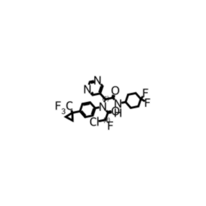 O=C(NC1CCC(F)(F)CC1)[C@H](c1cncnc1)N(C(=O)[C@H](F)Cl)c1ccc(C2(C(F)(F)F)CC2)cc1